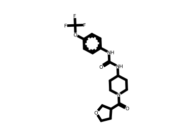 O=C(Nc1ccc(OC(F)(F)F)cc1)NC1CCN(C(=O)C2CCOC2)CC1